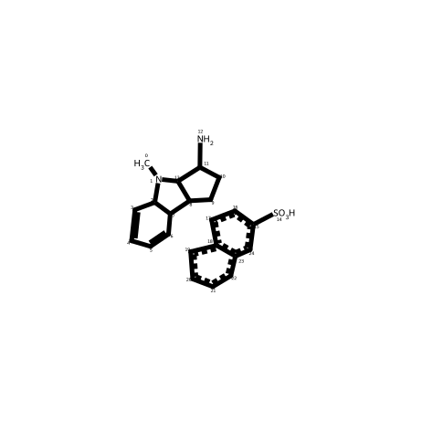 CN1C2C=CC=CC2C2CCC(N)C21.O=S(=O)(O)c1ccc2ccccc2c1